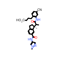 CC(C(=O)Nc1cc(C#N)ccc1CCCC(=O)O)[C@]1(C)CCc2ccc(C(=O)Nc3cnn(C)c3)cc21